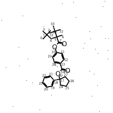 CC(C)(C)CC(C)(C(=O)Oc1ccc(C(=O)OC2(c3ccccc3)CCCC2)cc1)C(C)(C)C